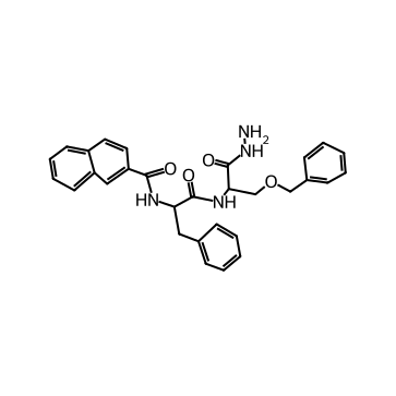 NNC(=O)C(COCc1ccccc1)NC(=O)C(Cc1ccccc1)NC(=O)c1ccc2ccccc2c1